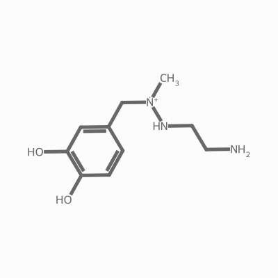 C[N+](Cc1ccc(O)c(O)c1)NCCN